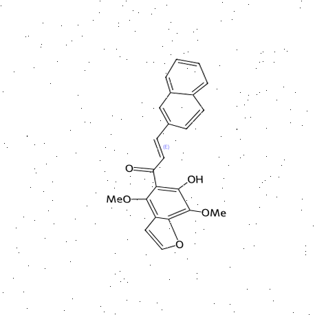 COc1c(C(=O)/C=C/c2ccc3ccccc3c2)c(O)c(OC)c2occc12